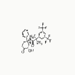 CC(C)(C(=O)N[C@]1(c2ccccc2)CCC(=O)[C@@H](O)C1)c1cc(C(F)(F)F)cc(C(F)(F)F)c1